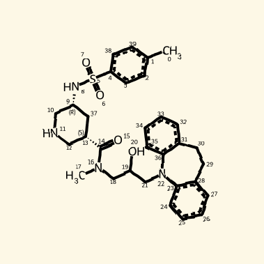 Cc1ccc(S(=O)(=O)N[C@H]2CNC[C@@H](C(=O)N(C)CC(O)CN3c4ccccc4CCc4ccccc43)C2)cc1